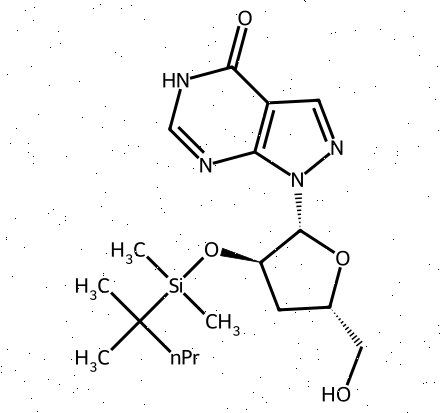 CCCC(C)(C)[Si](C)(C)O[C@@H]1C[C@@H](CO)O[C@H]1n1ncc2c(=O)[nH]cnc21